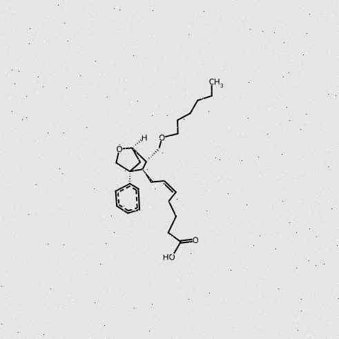 CCCCCCOC[C@@H]1[C@@H](C/C=C\CCCC(=O)O)[C@@]2(c3ccccc3)CO[C@@H]1C2